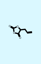 C=CCC1OC(=O)OC1=O